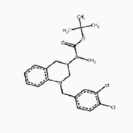 CN(C(=O)OC(C)(C)C)C1Cc2ccccc2N(Cc2ccc(Cl)c(Cl)c2)C1